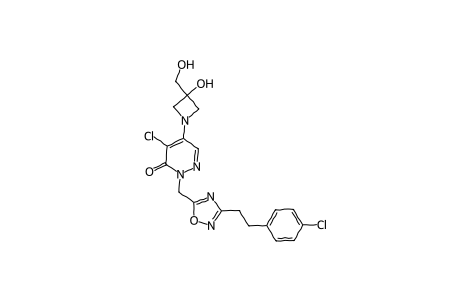 O=c1c(Cl)c(N2CC(O)(CO)C2)cnn1Cc1nc(CCc2ccc(Cl)cc2)no1